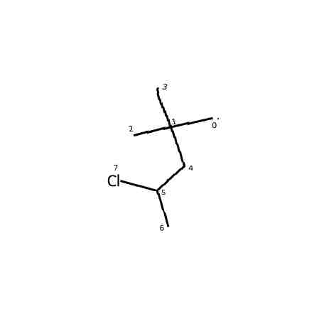 [CH2]C(C)(C)CC(C)Cl